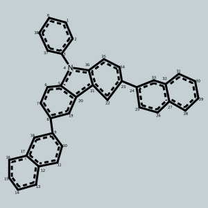 c1ccc(-n2c3ccc(-c4ccc5ccccc5c4)cc3c3cc(-c4ccc5ccccc5c4)ccc32)cc1